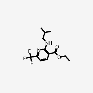 CCOC(=O)c1ccc(C(F)(F)F)nc1NCC(C)C